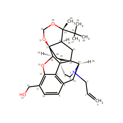 C=CCN1CC[C@]23c4c5ccc(CO)c4O[C@H]2[C@@]24CC[C@@]3(C[C@@H]2[C@@](C)(C(C)(C)C)OCO4)[C@H]1C5